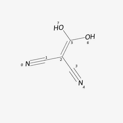 N#CC(C#N)=C(O)O